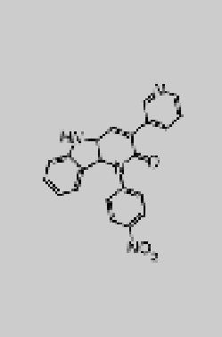 O=C1C(c2cccnc2)=CC2Nc3ccccc3C2N1c1ccc([N+](=O)[O-])cc1